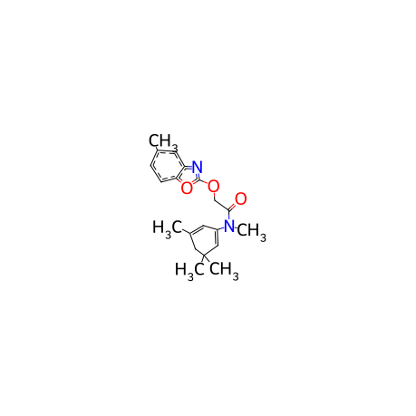 CC1=CC(N(C)C(=O)COc2nc3cc(C)ccc3o2)=CC(C)(C)C1